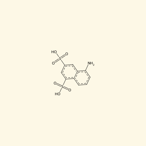 Nc1cccc2c(S(=O)(=O)O)cc(S(=O)(=O)O)cc12